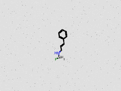 F[SiH2]NCC=Cc1ccccc1